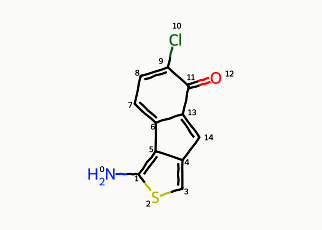 Nc1scc2c1C1=CC=C(Cl)C(=O)C1=C2